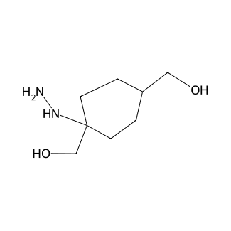 NNC1(CO)CCC(CO)CC1